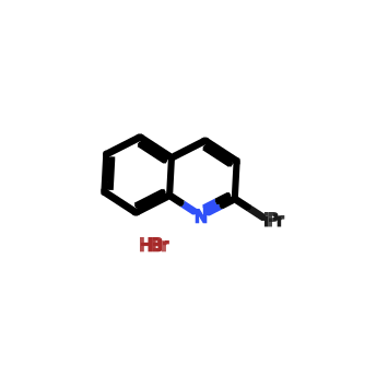 Br.CC(C)c1ccc2ccccc2n1